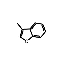 Cc1[c]oc2ccccc12